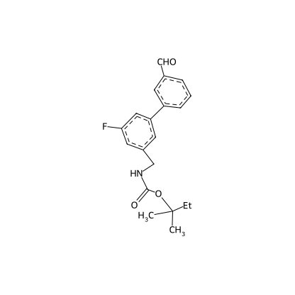 CCC(C)(C)OC(=O)NCc1cc(F)cc(-c2cccc(C=O)c2)c1